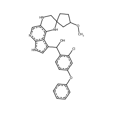 COC1CCC2(CNc3cnc4[nH]cc(C(O)c5ccc(Oc6ccccc6)cc5Cl)c4c3N2)C1